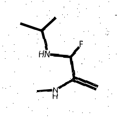 C=C(NC)C(F)NC(C)C